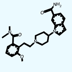 COc1cccc(C(=O)N(C)C)c1CCN1CCC(n2ccc3ccc(C(N)=O)cc32)CC1